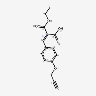 C#CCOc1ccc(/C=C(\C(=O)O)C(=O)OCC)cc1